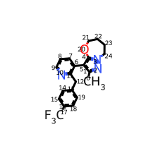 Cc1nn2c(c1-c1cccnc1Cc1ccc(C(F)(F)F)cc1)OCCCC2